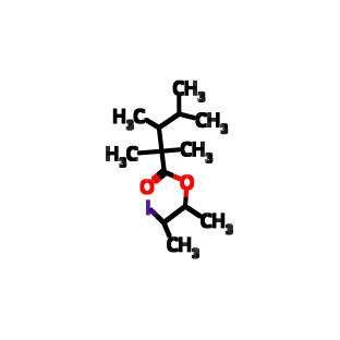 CC(C)C(C)C(C)(C)C(=O)OC(C)C(C)I